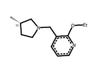 CCOc1ncccc1CN1CC[C@H](C)C1